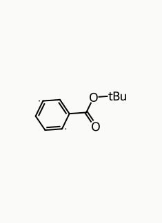 CC(C)(C)OC(=O)c1[c]cc[c]c1